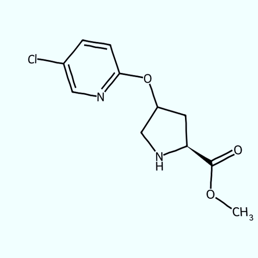 COC(=O)[C@@H]1CC(Oc2ccc(Cl)cn2)CN1